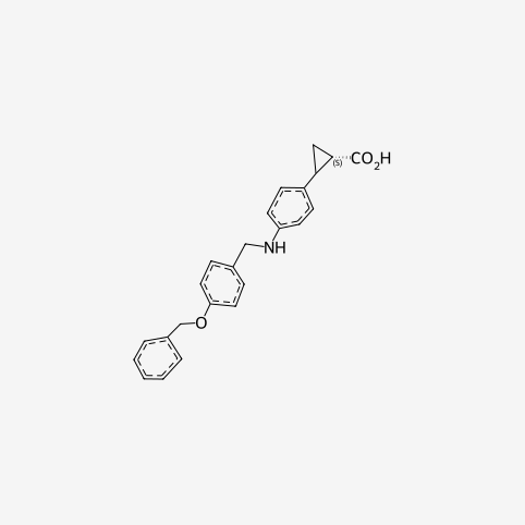 O=C(O)[C@H]1CC1c1ccc(NCc2ccc(OCc3ccccc3)cc2)cc1